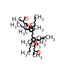 CCCCCC(C)(C)c1cc(CCc2cc(C(C)(C)CCCCC)c(OCCCC(CC)C3CO3)c(C(C)(C)CCCCC)c2)cc(C(C)(C)CCCCC)c1OCCCC(CC)C1CO1